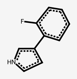 Fc1ccccc1-c1cc[nH]c1